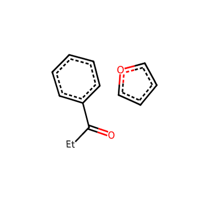 CCC(=O)c1ccccc1.c1ccoc1